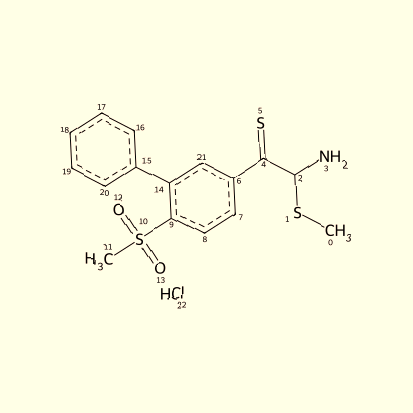 CSC(N)C(=S)c1ccc(S(C)(=O)=O)c(-c2ccccc2)c1.Cl